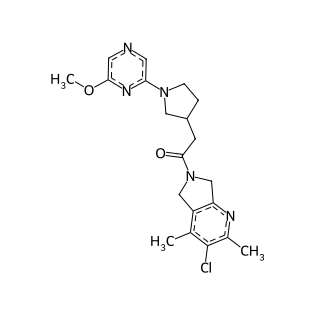 COc1cncc(N2CCC(CC(=O)N3Cc4nc(C)c(Cl)c(C)c4C3)C2)n1